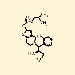 C=C(OCC(C)C)Oc1cc2c(s1)CCN(C(C(=C)CC)c1ccccc1Cl)C2